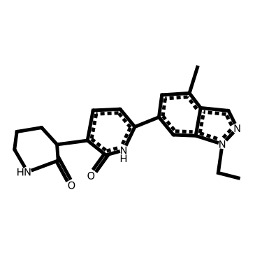 CCn1ncc2c(C)cc(-c3ccc(C4CCCNC4=O)c(=O)[nH]3)cc21